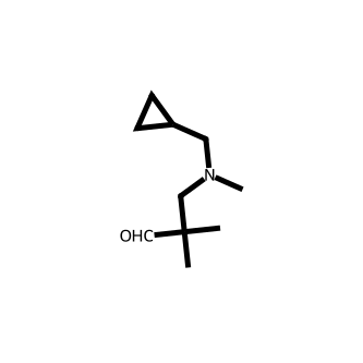 CN(CC1CC1)CC(C)(C)C=O